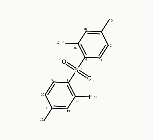 Cc1ccc(S(=O)(=O)c2ccc(C)cc2F)c(F)c1